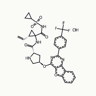 C=C[C@@H]1CC1(NC(=O)[C@@H]1C[C@@H](Oc2nc(-c3ccc(C(F)(F)F)cc3)nc3c2oc2ccccc23)CN1)C(=O)NS(=O)(=O)C1CC1.Cl